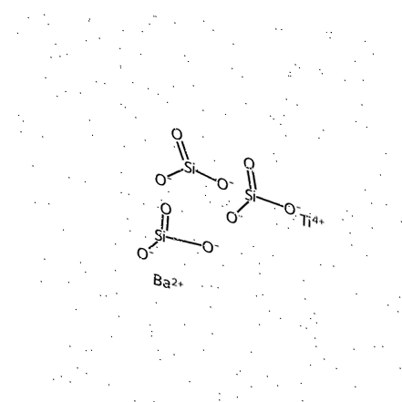 O=[Si]([O-])[O-].O=[Si]([O-])[O-].O=[Si]([O-])[O-].[Ba+2].[Ti+4]